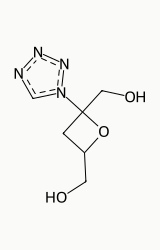 OCC1CC(CO)(n2cnnn2)O1